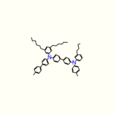 CCCCCCc1cc(CCCCCC)cc(N(c2ccc(-c3ccc(C)cc3)cc2)c2ccc(-c3ccc(N(c4ccc(C)cc4)c4cccc(CCCC)c4)cc3)cc2)c1